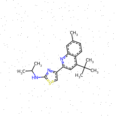 Cc1ccc2c(C(C)(C)C)cc(-c3csc(NC(C)C)n3)nc2c1